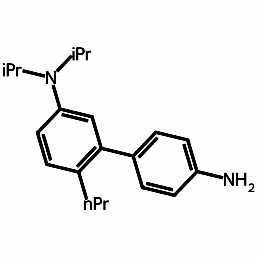 CCCc1ccc(N(C(C)C)C(C)C)cc1-c1ccc(N)cc1